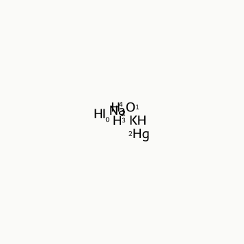 I.O.[Hg].[KH].[NaH]